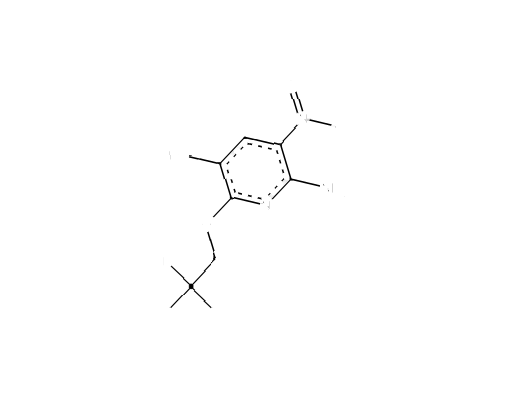 Cc1cc([N+](=O)[O-])c(N)nc1OCC(F)(F)F